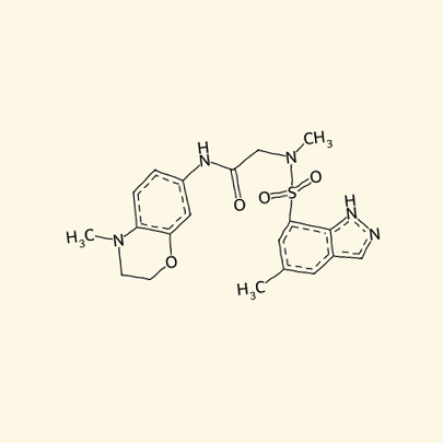 Cc1cc(S(=O)(=O)N(C)CC(=O)Nc2ccc3c(c2)OCCN3C)c2[nH]ncc2c1